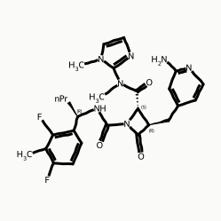 CCC[C@@H](NC(=O)N1C(=O)[C@H](Cc2ccnc(N)c2)[C@H]1C(=O)N(C)c1nccn1C)c1ccc(F)c(C)c1F